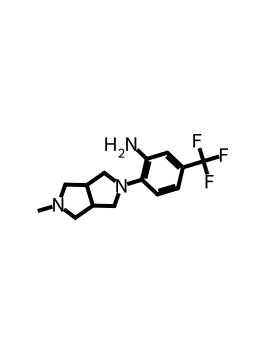 CN1CC2CN(c3ccc(C(F)(F)F)cc3N)CC2C1